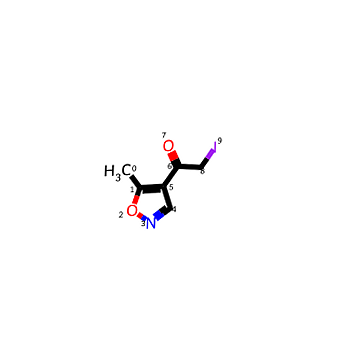 Cc1oncc1C(=O)CI